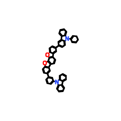 C1=CC(n2c3ccccc3c3cc(-c4ccc5oc6c(ccc7c8cc(-c9cccc(-n%10c%11ccccc%11c%11ccccc%11%10)c9)ccc8oc76)c5c4)ccc32)=CCC1